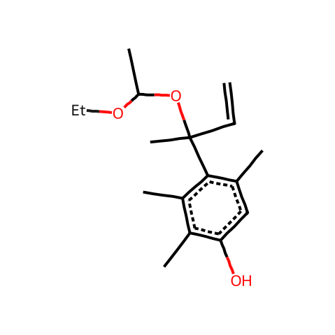 C=CC(C)(OC(C)OCC)c1c(C)cc(O)c(C)c1C